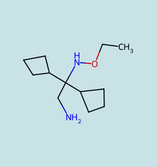 CCONC(CN)(C1CCC1)C1CCC1